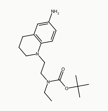 CCN(CCN1CCCc2cc(N)ccc21)C(=O)OC(C)(C)C